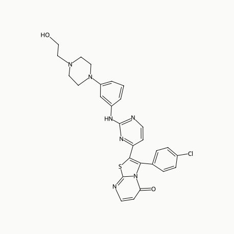 O=c1ccnc2sc(-c3ccnc(Nc4cccc(N5CCN(CCO)CC5)c4)n3)c(-c3ccc(Cl)cc3)n12